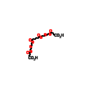 O=C(O)CCC(=O)OCCOCCOC(=O)CCCCC(=O)OCCOCCOC(=O)CCC(=O)O